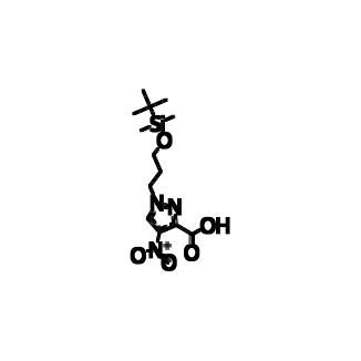 CC(C)(C)[Si](C)(C)OCCCn1cc([N+](=O)[O-])c(C(=O)O)n1